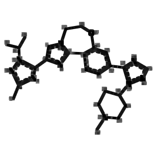 Cc1nc(-c2cn3c(n2)-c2ccc(-c4ncnn4C4CCN(C)CC4)cc2OCC3)n(C(C)C)n1